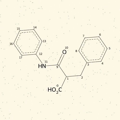 O=C(O)C(Cc1ccccc1)C(=O)Nc1ccccc1